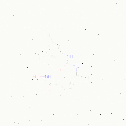 CC(NC(=O)Nc1cc(Cl)cc(Cl)c1)c1ccc(C(=O)NO)s1